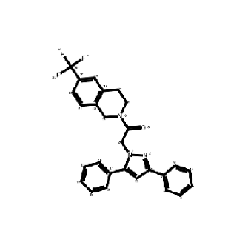 O=C(Cn1nc(-c2ccccc2)cc1-c1ccccc1)N1CCc2cc(C(F)(F)F)ccc2C1